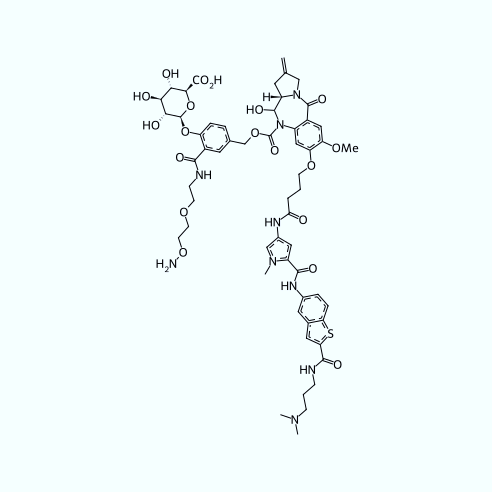 C=C1C[C@H]2C(O)N(C(=O)OCc3ccc(O[C@@H]4O[C@H](C(=O)O)[C@@H](O)[C@H](O)[C@H]4O)c(C(=O)NCCOCCON)c3)c3cc(OCCCC(=O)Nc4cc(C(=O)Nc5ccc6sc(C(=O)NCCCN(C)C)cc6c5)n(C)c4)c(OC)cc3C(=O)N2C1